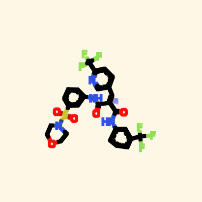 O=C(Nc1cccc(C(F)(F)F)c1)/C(=C/c1ccc(C(F)(F)F)nc1)C(=O)Nc1cccc(S(=O)(=O)N2CCOCC2)c1